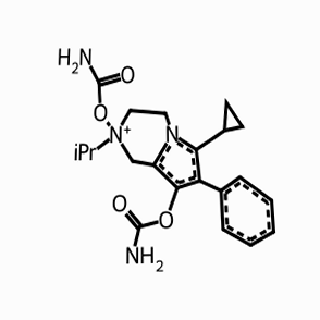 CC(C)[N+]1(OC(N)=O)CCn2c(c(OC(N)=O)c(-c3ccccc3)c2C2CC2)C1